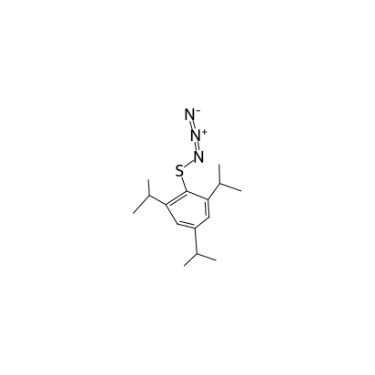 CC(C)c1cc(C(C)C)c(SN=[N+]=[N-])c(C(C)C)c1